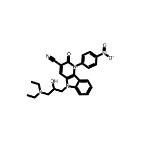 CCN(CC)CC(O)Cn1c2ccccc2c2c1cc(C#N)c(=O)n2-c1ccc([N+](=O)[O-])cc1